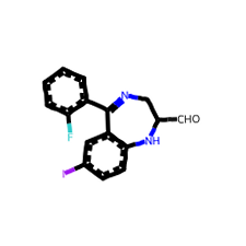 O=CC1CN=C(c2ccccc2F)c2cc(I)ccc2N1